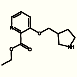 CCOC(=O)c1ncccc1OCC1CCNC1